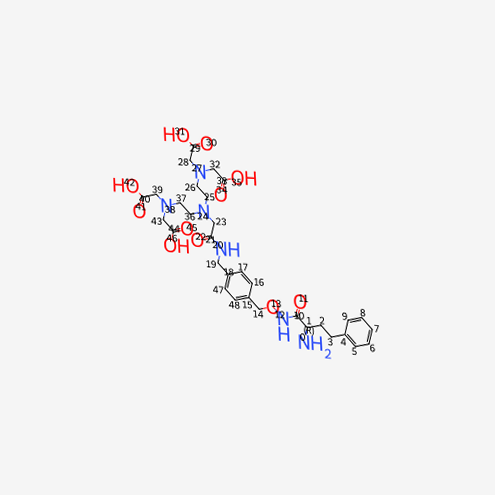 N[C@H](CCc1ccccc1)C(=O)NOCc1ccc(CNC(=O)CN(CCN(CC(=O)O)CC(=O)O)CCN(CC(=O)O)CC(=O)O)cc1